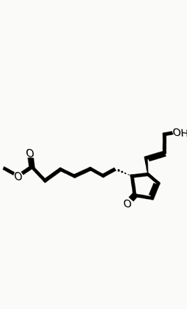 COC(=O)CCCCCC[C@H]1C(=O)C=C[C@@H]1/C=C/CO